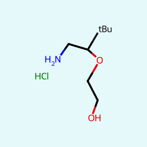 CC(C)(C)C(CN)OCCO.Cl